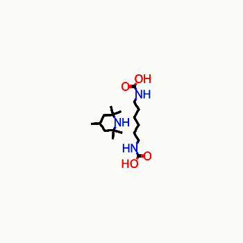 CC1CC(C)(C)NC(C)(C)C1.O=C(O)NCCCCCCNC(=O)O